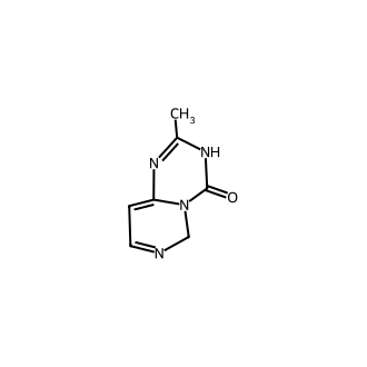 CC1=NC2=CC=NCN2C(=O)N1